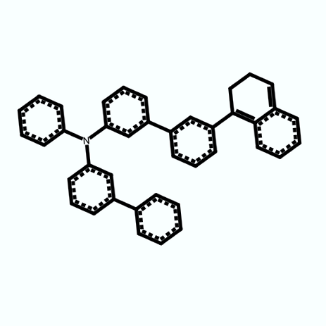 C1=c2ccccc2=C(c2cccc(-c3cccc(N(c4ccccc4)c4cccc(-c5ccccc5)c4)c3)c2)CC1